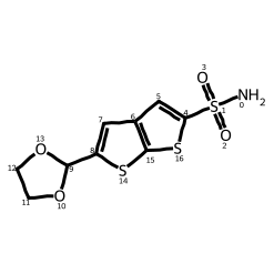 NS(=O)(=O)c1cc2cc(C3OCCO3)sc2s1